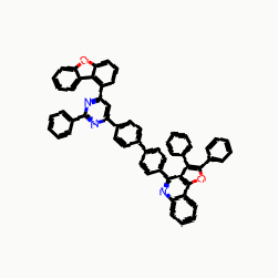 c1ccc(-c2nc(-c3ccc(-c4ccc(-c5nc6ccccc6c6oc(-c7ccccc7)c(-c7ccccc7)c56)cc4)cc3)cc(-c3cccc4oc5ccccc5c34)n2)cc1